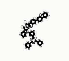 O=c1c2c3ccc(-c4ccc5c(c4)oc4ccccc45)cc3oc2n2c3c(c(=O)n12)c1ccccc1n3-c1cccc(-c2nc(-c3ccccc3)nc(-c3ccccc3)n2)c1